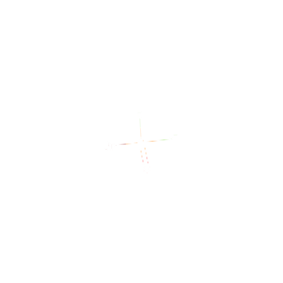 O=P(F)(F)Br